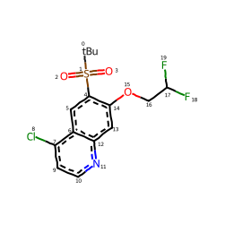 CC(C)(C)S(=O)(=O)c1cc2c(Cl)ccnc2cc1OCC(F)F